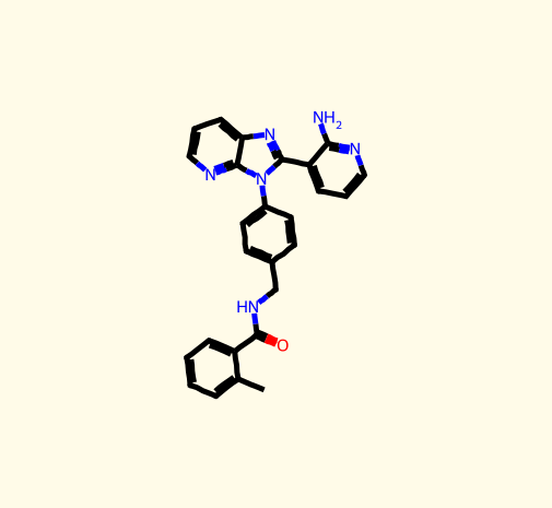 Cc1ccccc1C(=O)NCc1ccc(-n2c(-c3cccnc3N)nc3cccnc32)cc1